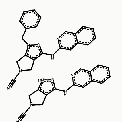 N#CN1Cc2[nH]nc(Nc3cc4ccccc4cn3)c2C1.N#CN1Cc2c(Nc3cc4ccccc4cn3)nn(Cc3ccccc3)c2C1